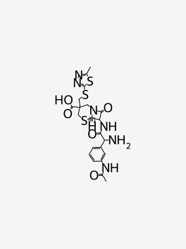 CC(=O)Nc1cccc(C(N)C(=O)NC2C(=O)N3CC(CSc4nnc(C)s4)(C(=O)O)CS[C@H]23)c1